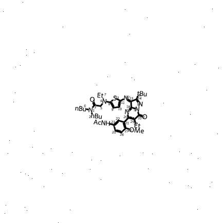 CCCCN(CCCC)C(=O)CN(CC)c1ccc(/N=C2/C(C(C)(C)C)=Nn3c2nc(-c2cc(NC(C)=O)ccc2OC)c(CC)c3=O)s1